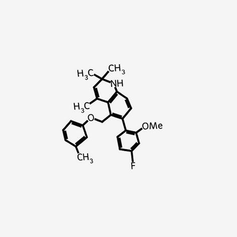 COc1cc(F)ccc1-c1ccc2c(c1COc1cccc(C)c1)C(C)=CC(C)(C)N2